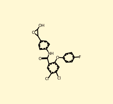 O=C(Nc1ccc(C2OC2O)cc1)c1cc(Cl)c(Cl)cc1Oc1ccc(F)cc1